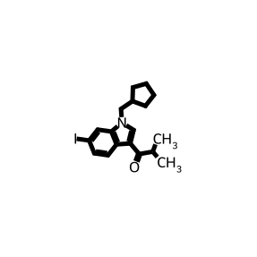 CC(C)C(=O)c1cn(CC2CCCC2)c2cc(I)ccc12